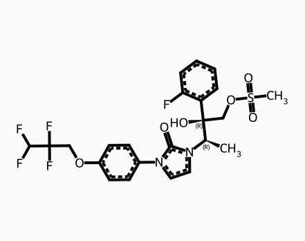 C[C@@H](n1ccn(-c2ccc(OCC(F)(F)C(F)F)cc2)c1=O)[C@@](O)(COS(C)(=O)=O)c1ccccc1F